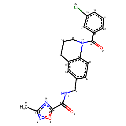 Cc1noc(C(=O)NCc2ccc3c(c2)CCCN3C(=O)c2cccc(Cl)c2)n1